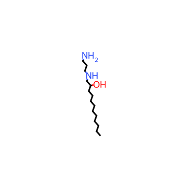 CCCCCCCCCCC(O)CNCCCN